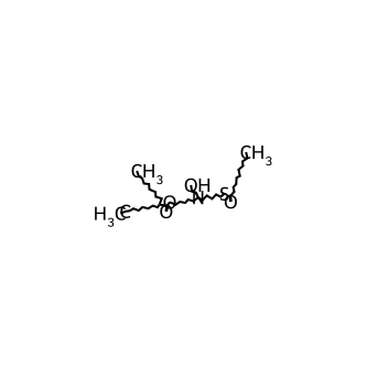 CCCCCCCCCCC(=O)SCCCCCN(CCO)CCCCCOC(=O)C(CCCCCCCCC)CCCCCCCCC